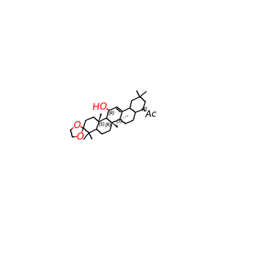 CC(=O)[C@@H]1CC(C)(C)CC2C3=C[C@H](O)C4[C@@]5(C)CCC6(OCCO6)C(C)(C)C5CC[C@@]4(C)[C@]3(C)CCC21